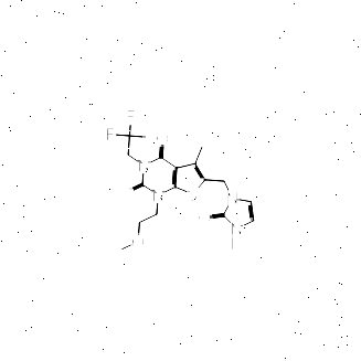 COCCn1c(=O)n(CC(F)(F)F)c(=O)c2c(C)c(Cn3cc[nH]c3=O)sc21